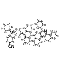 N#Cc1ccc2c(c1)c1c(n2-c2ccccc2)CCC(C2=c3ccccc3=C(C3=Cc4c(-c5ccccc5)nc5c(c4C4C=CC=CC34)CCc3ccccc3-5)C3C=CC=CC23)=C1